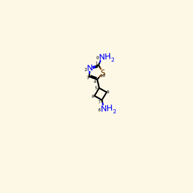 Nc1ncc(C2CC(N)C2)s1